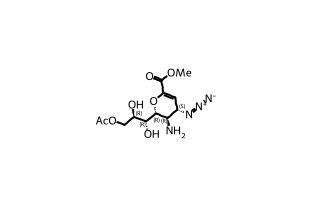 COC(=O)C1=C[C@H](N=[N+]=[N-])[C@@H](N)[C@H]([C@H](O)[C@H](O)COC(C)=O)O1